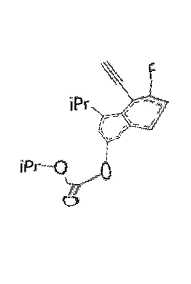 C#Cc1c(F)ccc2cc(OC(=O)OC(C)C)cc(C(C)C)c12